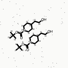 CC(C)(C)OC(=O)N1CCC(CCO)CC1.CC(C)(C)OC(=O)N1CCC(CCO)CC1